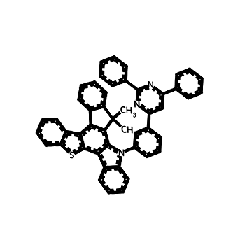 CC1(C)c2ccccc2-c2c1c1c(c3ccccc3n1-c1cccc(-c3cc(-c4ccccc4)nc(-c4ccccc4)n3)c1)c1sc3ccccc3c21